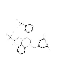 Cc1cc(CN2C[C@@H](c3cccc(C(F)(F)F)c3)N(C[C@@H](O)C(F)(F)F)c3ccccc32)cc(Cl)n1